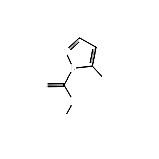 Cc1ccnn1C(=S)SS